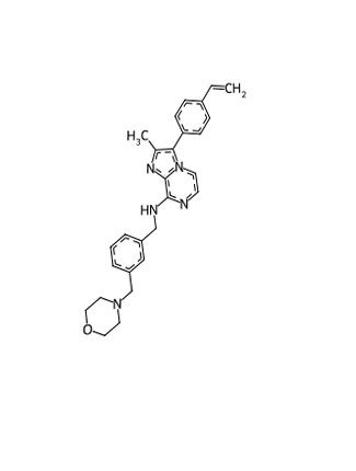 C=Cc1ccc(-c2c(C)nc3c(NCc4cccc(CN5CCOCC5)c4)nccn23)cc1